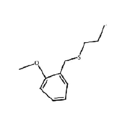 [CH2]CCSCc1ccccc1OC